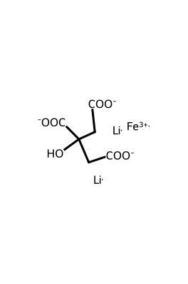 O=C([O-])CC(O)(CC(=O)[O-])C(=O)[O-].[Fe+3].[Li].[Li]